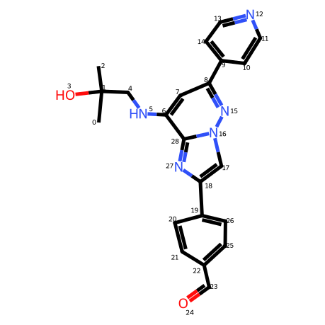 CC(C)(O)CNc1cc(-c2ccncc2)nn2cc(-c3ccc(C=O)cc3)nc12